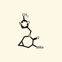 CNC1CC2CC2CN(Cc2cnc(C)o2)C1=O